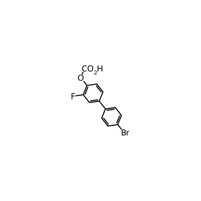 O=C(O)Oc1ccc(-c2ccc(Br)cc2)cc1F